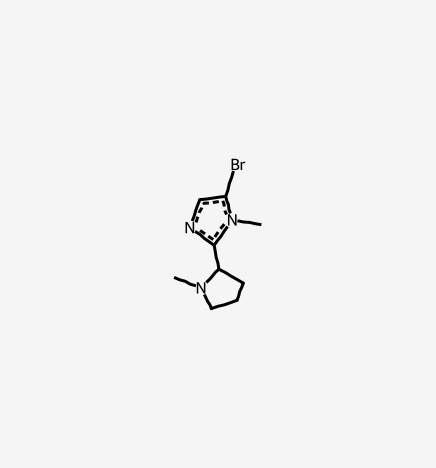 CN1CCCC1c1ncc(Br)n1C